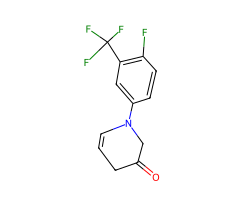 O=C1CC=CN(c2ccc(F)c(C(F)(F)F)c2)C1